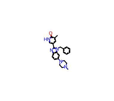 Cc1cc(-c2nc3ccc(N4CCN(C)CC4)cc3n2Cc2ccccc2)c[nH]c1=O